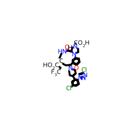 O=C(O)CC(F)(F)F.O=C1NCCCCC[C@H](N2CCC(c3cc(Cl)ccc3-n3cc(Cl)nn3)=CC2=O)c2cccc(c2)N2CCN(C(=O)O)C[C@H]12